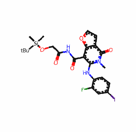 Cn1c(Nc2ccc(I)cc2F)c(C(=O)NC(=O)CO[Si](C)(C)C(C)(C)C)c2occc2c1=O